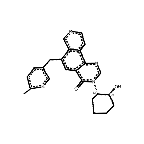 Cc1ccc(Cc2cc3c(=O)n([C@H]4CCCC[C@@H]4O)cnc3c3ccncc23)cn1